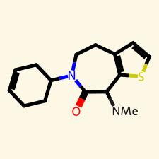 CNC1C(=O)N(C2CC=CCC2)CCc2ccsc21